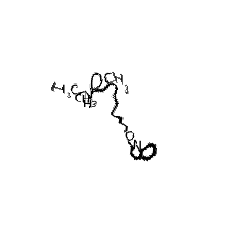 CC(C=CCCCCCCOCc1ccc2ccccc2n1)=CC(=O)NCC(C)C